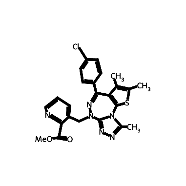 COC(=O)c1ncccc1CN1N=C(c2ccc(Cl)cc2)c2c(sc(C)c2C)-n2c(C)nnc21